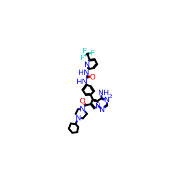 Nc1ncnn2cc(C(=O)N3CCN(C4CCCCC4)CC3)c(-c3ccc(NC(=O)Nc4cccc(C(F)(F)F)n4)cc3)c12